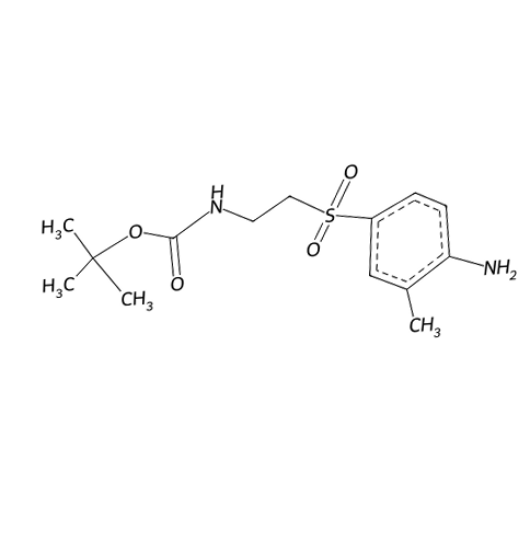 Cc1cc(S(=O)(=O)CCNC(=O)OC(C)(C)C)ccc1N